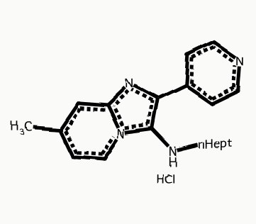 CCCCCCCNc1c(-c2ccncc2)nc2cc(C)ccn12.Cl